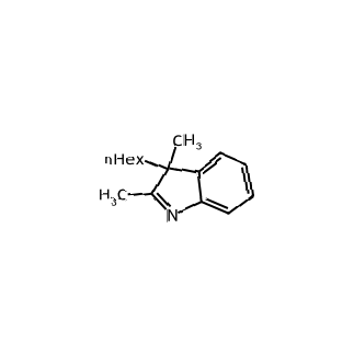 CCCCCCC1(C)C(C)=Nc2ccccc21